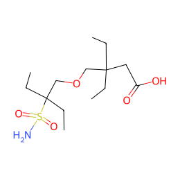 CCC(CC)(COCC(CC)(CC)S(N)(=O)=O)CC(=O)O